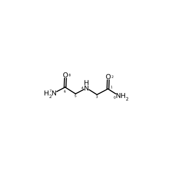 NC(=O)CNCC(N)=O